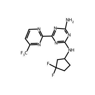 Nc1nc(NC2CCC(F)(F)C2)nc(-c2nccc(C(F)(F)F)n2)n1